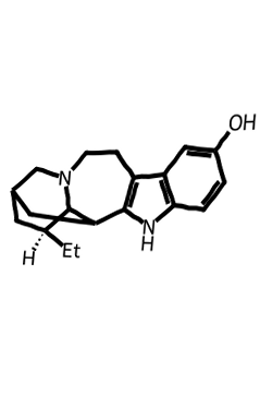 CC[C@H]1CC2CC3c4[nH]c5ccc(O)cc5c4CCN(C2)C31